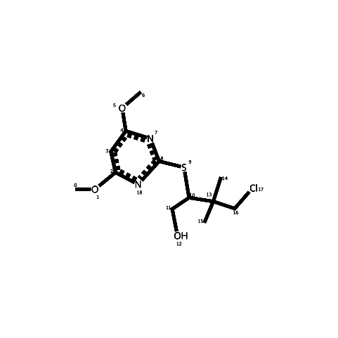 COc1cc(OC)nc(SC(CO)C(C)(C)CCl)n1